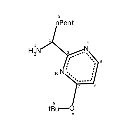 CCCCCC(N)c1nccc(OC(C)(C)C)n1